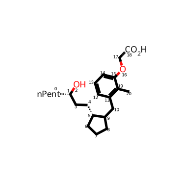 CCCCC[C@H](O)CC[C@H]1CCCC1Cc1cccc(OCC(=O)O)c1C